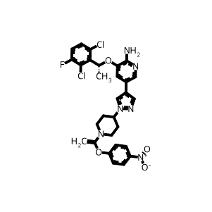 C=C(Oc1ccc([N+](=O)[O-])cc1)N1CCC(n2cc(-c3cnc(N)c(O[C@H](C)c4c(Cl)ccc(F)c4Cl)c3)cn2)CC1